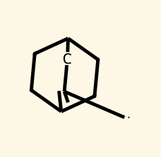 [CH2]C1=C2CCC(CC2)C1